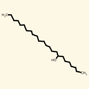 CCCCCCCCCCCCCCCCC(O)CCCCCCC